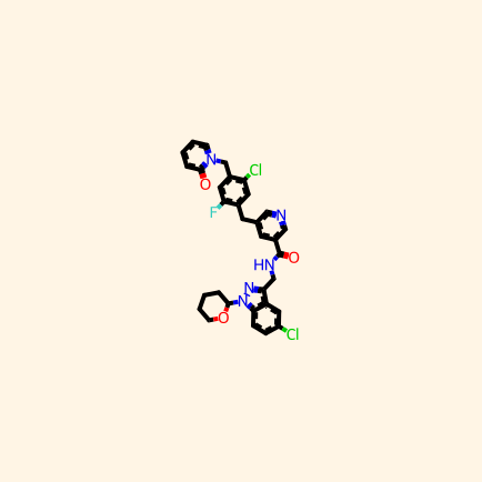 O=C(NCc1nn(C2CCCCO2)c2ccc(Cl)cc12)c1cncc(Cc2cc(Cl)c(Cn3ccccc3=O)cc2F)c1